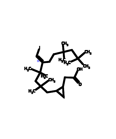 CC(C)(C)CC(C)(C)CC/C(=C\I)C(C)(C)CC(C)(C)CC1CC1CC(=O)O